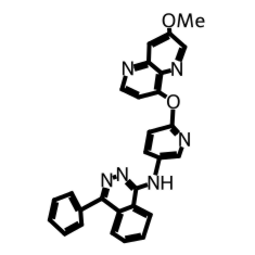 COc1cnc2c(Oc3ccc(Nc4nnc(-c5ccccc5)c5ccccc45)cn3)ccnc2c1